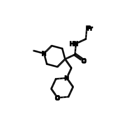 CC(C)CNC(=O)C1(CN2CCOCC2)CCN(C)CC1